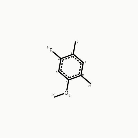 COc1cc(F)c(C)cc1C